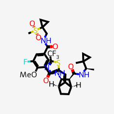 COc1c(F)cc(C(=O)NCC2(S(C)(=O)=O)CC2)cc1C(=O)N[C@H]1[C@@H](C(=O)N[C@H](C)C2(C)CC2)[C@H]2CC[C@@H]1/C2=C\c1cnc(C(F)(F)F)s1